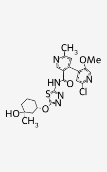 COc1cnc(Cl)cc1-c1cc(C)ncc1C(=O)Nc1nnc(O[C@H]2CCC[C@](C)(O)C2)s1